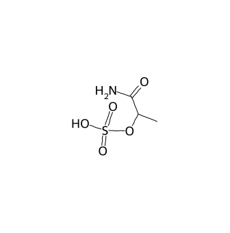 CC(OS(=O)(=O)O)C(N)=O